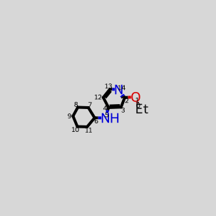 CCOc1cc(NC2CCCCC2)ccn1